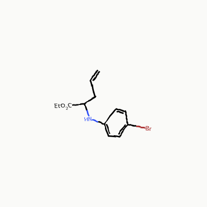 C=CCC(Nc1ccc(Br)cc1)C(=O)OCC